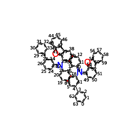 c1ccc(-c2cccc(N(c3ccccc3-c3ccccc3N(c3cccc(-c4ccccc4)c3)c3cccc4c3oc3ccccc34)c3cccc4c3oc3ccccc34)c2)cc1